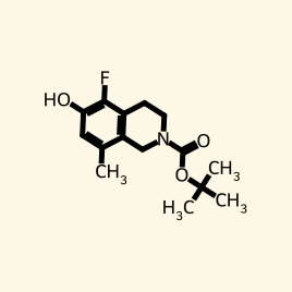 Cc1cc(O)c(F)c2c1CN(C(=O)OC(C)(C)C)CC2